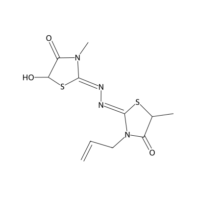 C=CCN1C(=O)C(C)SC1=NN=C1SC(O)C(=O)N1C